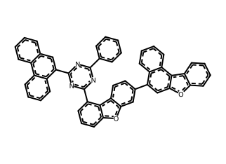 c1ccc(-c2nc(-c3cc4ccccc4c4ccccc34)nc(-c3cccc4oc5cc(-c6cc7oc8ccccc8c7c7ccccc67)ccc5c34)n2)cc1